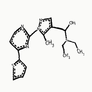 CCN(CC)C(O)c1cnn(-c2nccc(-c3cccs3)n2)c1C